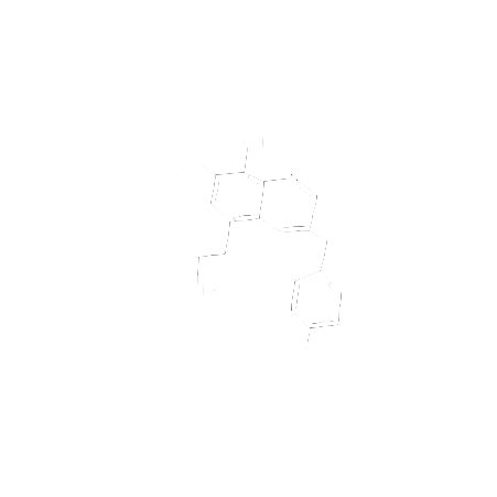 CCOC(=O)c1cc(CCC=O)c2cc(Cc3ccc(F)cc3)cnc2c1O